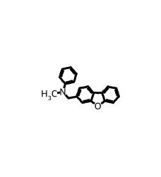 CN(Cc1ccc2c(c1)oc1ccccc12)c1ccccc1